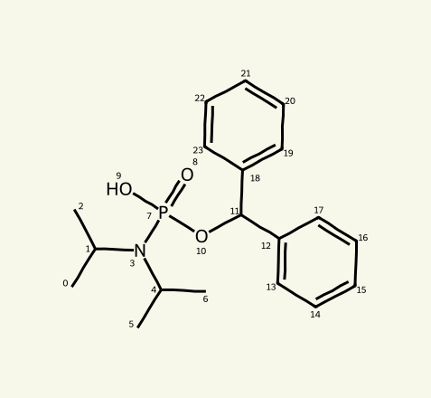 CC(C)N(C(C)C)P(=O)(O)OC(c1ccccc1)c1ccccc1